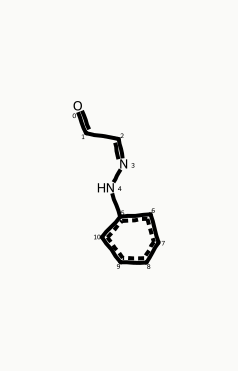 O=C/C=N\Nc1ccccc1